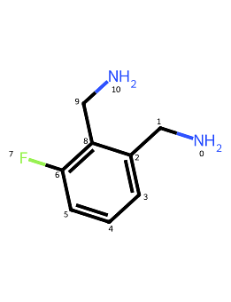 NCc1cccc(F)c1CN